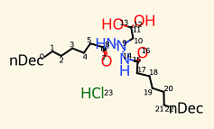 CCCCCCCCCCCCCCCC(=O)NN(CC(O)O)NC(=O)CCCCCCCCCCCCCCC.Cl